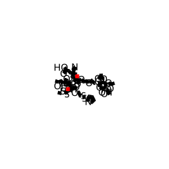 CCSC(=S)SC(C)(CC(C)(CBC(C)(CC(C)(C#N)CCC(=O)O)C(=O)OCCOCCO[C@@H]1O[C@H](O)[C@H](OC(C)=O)[C@H](OC(C)=O)[C@@H]1OC(C)=O)C(=O)NCC(C)O)C(=O)OCCSSc1ccccn1